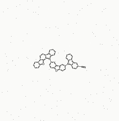 N#Cc1ccc2c(c1)c1ccccc1n2-c1ccc2oc3ccc(-n4c5ccccc5c5ccc6c7ccccc7oc6c54)cc3c2c1